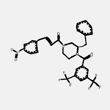 O=C(/C=C/c1ccc([N+](=O)[O-])cc1)N1CCN(C(=O)c2cc(C(F)(F)F)cc(C(F)(F)F)c2)[C@H](Cc2ccccc2)C1